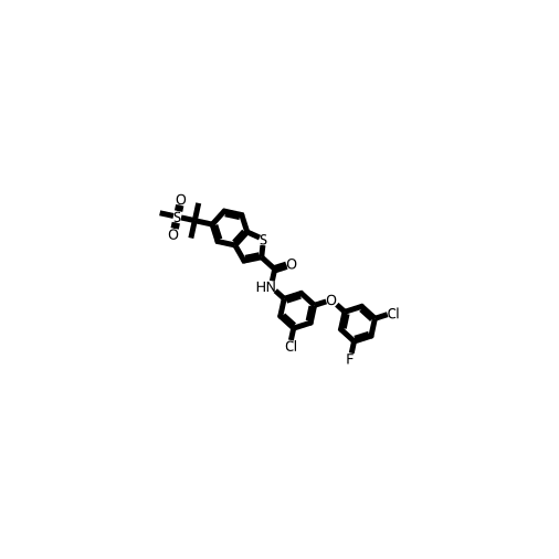 CC(C)(c1ccc2sc(C(=O)Nc3cc(Cl)cc(Oc4cc(F)cc(Cl)c4)c3)cc2c1)S(C)(=O)=O